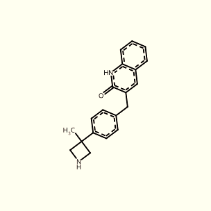 CC1(c2ccc(Cc3cc4ccccc4[nH]c3=O)cc2)CNC1